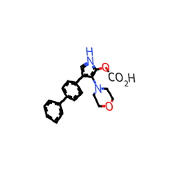 O=C(O)Oc1[nH]cc(-c2ccc(-c3ccccc3)cc2)c1N1CCOCC1